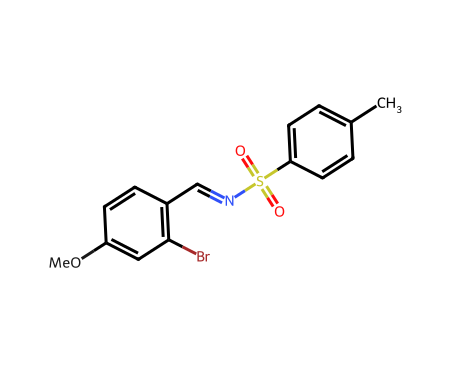 COc1ccc(C=NS(=O)(=O)c2ccc(C)cc2)c(Br)c1